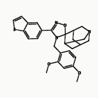 COc1ccc(CN2C(c3ccc4sccc4c3)=NOC23C2CC4CC3CN(C4)C2)c(OC)c1